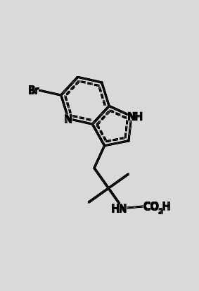 CC(C)(Cc1c[nH]c2ccc(Br)nc12)NC(=O)O